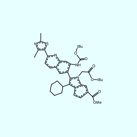 COC(=O)c1ccc2c(C3CCCCC3)c(-c3cc4ccc(-c5sc(C)nc5C)nc4cc3NC(=O)OC(C)(C)C)n(CC(=O)OC(C)(C)C)c2c1